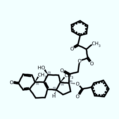 CC(C(=O)OCC(=O)[C@@]1(OC(=O)c2ccccc2)CC[C@H]2C3=C([C@@H](O)C[C@@]21C)[C@@]1(C)C=CC(=O)C=C1CC3)C(=O)c1ccccc1